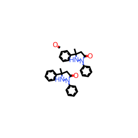 C=O.CC1(c2ccccc2)CC(=O)N(c2ccccc2)N1.CC1(c2ccccc2)CC(=O)N(c2ccccc2)N1